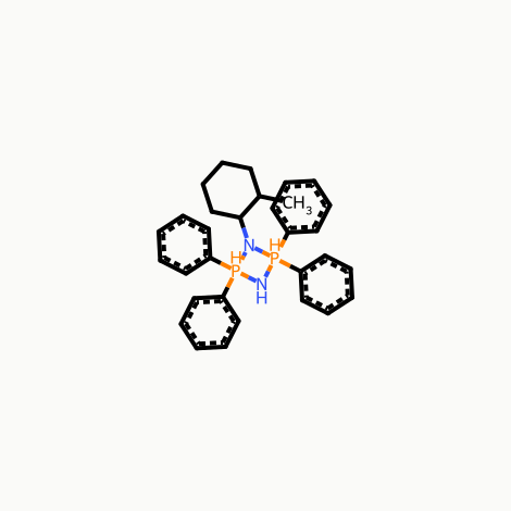 CC1CCCCC1N1[PH](c2ccccc2)(c2ccccc2)N[PH]1(c1ccccc1)c1ccccc1